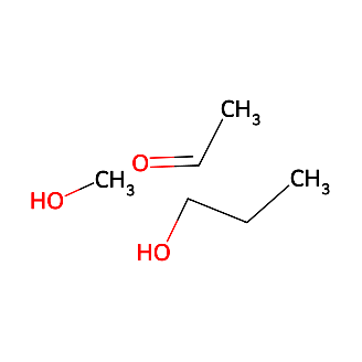 CC=O.CCCO.CO